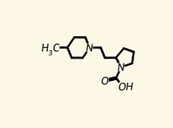 CC1CCN(CCC2CCCN2C(=O)O)CC1